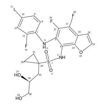 O=S(=O)(Nc1c(Nc2ccc(I)cc2F)c(F)c(F)c2ccoc12)C1(C[C@H](O)CO)CC1